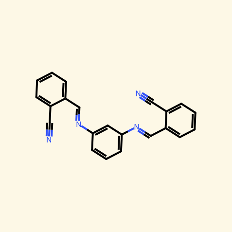 N#Cc1ccccc1C=Nc1cccc(N=Cc2ccccc2C#N)c1